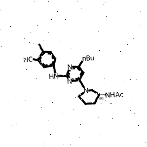 CCCCc1cc(N2CCC[C@@H](NC(C)=O)C2)nc(Nc2ccc(C)c(C#N)c2)n1